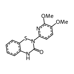 COc1ccc(N2Sc3ccccc3NC2=O)nc1OC